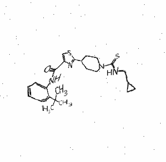 CC(C)(C)c1ccccc1NC(=O)c1csc(C2CCN(C(=S)NCC3CC3)CC2)n1